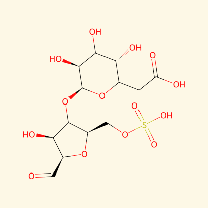 O=C[C@@H]1O[C@H](COS(=O)(=O)O)C(O[C@@H]2OC(CC(=O)O)[C@@H](O)C(O)[C@@H]2O)[C@@H]1O